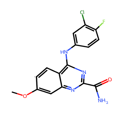 COc1[c]cc2c(Nc3ccc(F)c(Cl)c3)nc(C(N)=O)nc2c1